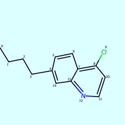 CCCCc1ccc2c(Cl)ccnc2c1